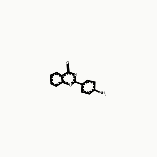 Nc1ccc(-c2nc(=O)c3ccccc3o2)cc1